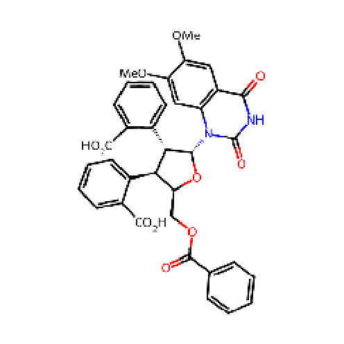 COc1cc2c(=O)[nH]c(=O)n([C@@H]3O[C@@H](COC(=O)c4ccccc4)[C@@H](c4ccccc4C(=O)O)[C@@H]3c3ccccc3C(=O)O)c2cc1OC